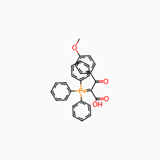 COc1ccc(C(=O)C(C(=O)O)=P(c2ccccc2)(c2ccccc2)c2ccccc2)cc1